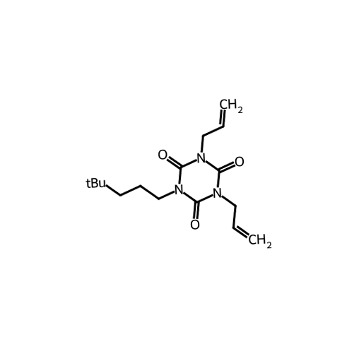 C=CCn1c(=O)n(CC=C)c(=O)n(CCCC(C)(C)C)c1=O